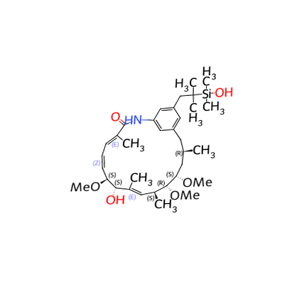 CO[C@H]1[C@@H](OC)C[C@H](C)Cc2cc(CC(C)(C)[Si](C)(C)O)cc(c2)NC(=O)/C(C)=C/C=C\[C@H](OC)[C@@H](O)/C(C)=C/[C@@H]1C